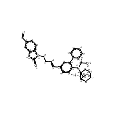 O=Cc1ccc2c(c1)oc(=O)n2CCC=Cc1ccc(N(C(=O)O)[C@H]2CN3CCC2CC3)c(-c2ccccc2)c1